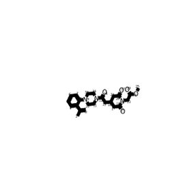 C=C(C)c1ccccc1N1CCN(C(=O)CC2CC(=O)N(CC(=O)OC)C(=O)C2)CC1